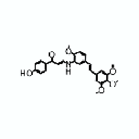 COc1ccc(C=Cc2cc(OC)c(OC)c(OC)c2)cc1NC=CC(=O)c1ccc(O)cc1